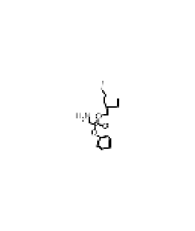 CCCCC(CC)COP(=O)(CN)Oc1ccccc1